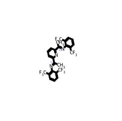 C/C(=N\c1c(C(F)(F)F)cccc1C(F)(F)F)c1cccc(/C(C)=N/c2c(C(F)(F)F)cccc2C(F)(F)F)n1